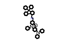 C(=C\c1cccc2c1-c1ccccc1C2(c1ccccc1)c1ccccc1)/c1ccc2c(c1)Oc1cc(N(c3ccccc3)c3ccccc3)ccc1N2c1ccccc1